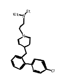 CCN(CC)CCN1CCC(Cc2ccccc2-c2ccc(Cl)cc2)CC1